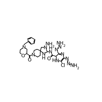 NN=NC1=NC(N=NN)=C(Cl)NC1C(=O)NC1NC2(CCN(C(=O)C3CN(Cc4ccccc4)CCO3)CC2)CN1N